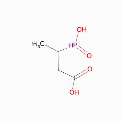 CC(CC(=O)O)[PH](=O)O